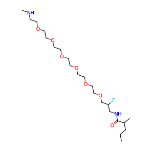 CCCC(C)C(=O)NCC(F)COCCOCCOCCOCCOCCOCCNC